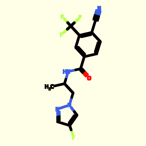 CC(Cn1cc(F)cn1)NC(=O)c1ccc(C#N)c(C(F)(F)F)c1